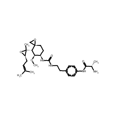 CO[C@H]1[C@H](C2(C)O[C@@H]2CC=C(C)C)[C@]2(CC[C@H]1NC(=O)NCCc1ccc(NC(=O)[C@H](C)N)cc1)CO2